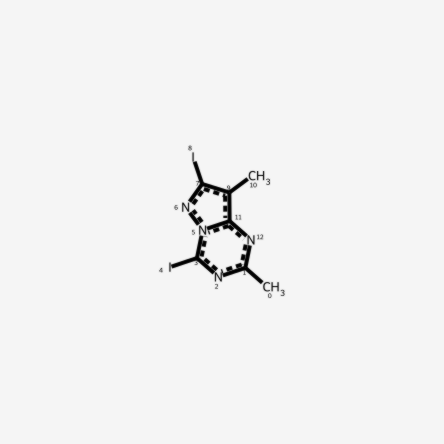 Cc1nc(I)n2nc(I)c(C)c2n1